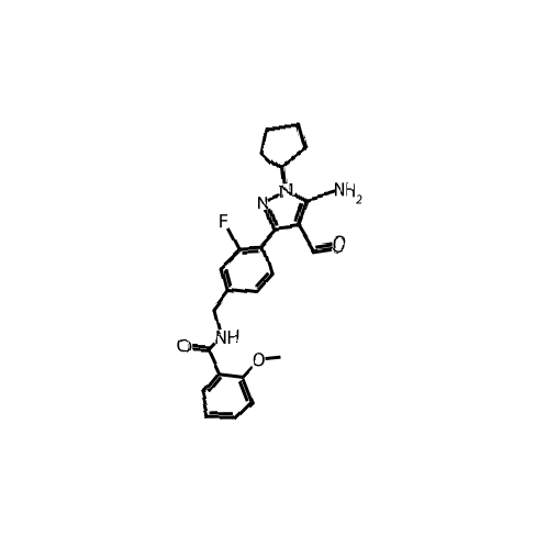 COc1ccccc1C(=O)NCc1ccc(-c2nn(C3CCCC3)c(N)c2C=O)c(F)c1